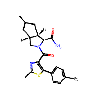 CCc1ccc(-c2sc(C)nc2C(=O)N2C[C@@H]3CC(C)C[C@@H]3[C@H]2C(N)=O)cc1